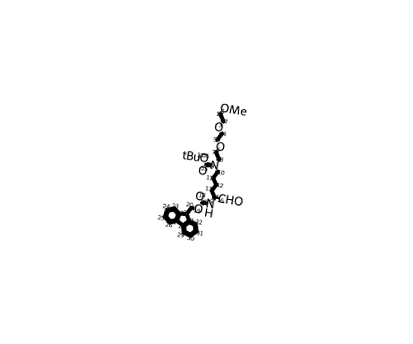 COCCOCCOCCN(CCCC[C@@H](C=O)NC(=O)OCC1c2ccccc2-c2ccccc21)C(=O)OC(C)(C)C